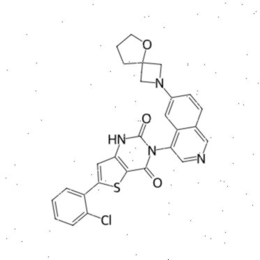 O=c1[nH]c2cc(-c3ccccc3Cl)sc2c(=O)n1-c1cncc2ccc(N3CC4(CCCO4)C3)cc12